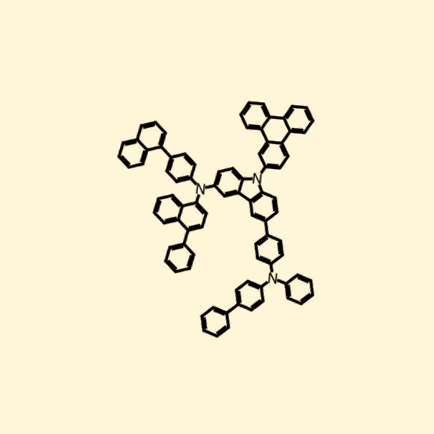 c1ccc(-c2ccc(N(c3ccccc3)c3ccc(-c4ccc5c(c4)c4cc(N(c6ccc(-c7cccc8ccccc78)cc6)c6ccc(-c7ccccc7)c7ccccc67)ccc4n5-c4ccc5c6ccccc6c6ccccc6c5c4)cc3)cc2)cc1